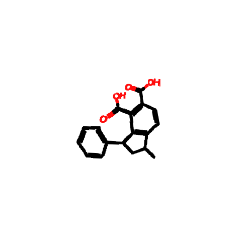 CC1CC(c2ccccc2)c2c1ccc(C(=O)O)c2C(=O)O